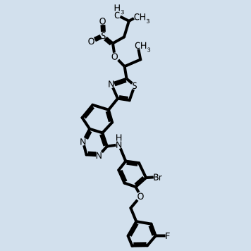 CCC(OC(CC(C)C)=S(=O)=O)c1nc(-c2ccc3ncnc(Nc4ccc(OCc5cccc(F)c5)c(Br)c4)c3c2)cs1